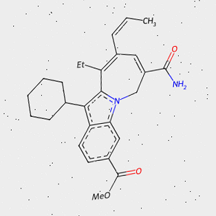 C/C=C\C1=C(CC)c2c(C3CCCCC3)c3ccc(C(=O)OC)cc3n2CC(C(N)=O)=C1